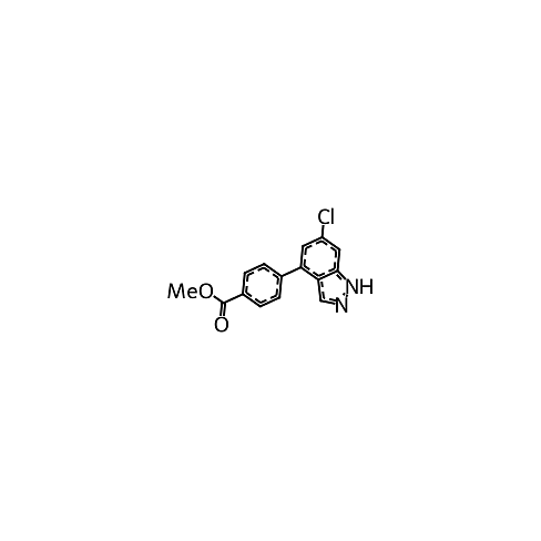 COC(=O)c1ccc(-c2cc(Cl)cc3[nH]ncc23)cc1